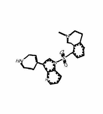 CN1CCc2cccc(S(=O)(=O)n3cc(C4=CCNCC4)c4ncccc43)c2C1